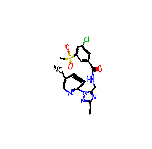 Cc1nc(CNC(=O)c2cc(Cl)cc(S(C)(=O)=O)c2)n(-c2ccc(C#N)cn2)n1